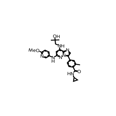 COc1ccc(Nc2cc(NCC(C)(C)O)c3ncc(-c4ccc(C(=O)NC5CC5)c(C)c4)n3n2)cn1